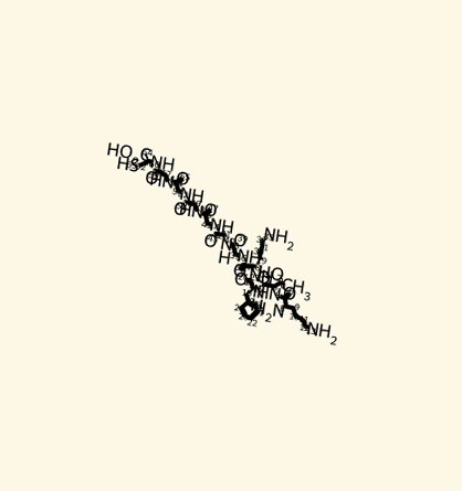 C[C@@H](O)[C@H](NC(=O)[C@@H](N)CCCCN)C(=O)N[C@@H](Cc1ccccc1)C(=O)N[C@@H](CCCCN)C(=O)NCC(=O)NCC(=O)NCC(=O)NCC(=O)NCC(=O)NCC(=O)N[C@@H](CS)C(=O)O